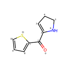 O=C(C1=CCCN1)c1cccs1